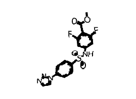 COC(=O)c1c(F)cc(NS(=O)(=O)c2ccc(-n3ccnn3)cc2)cc1F